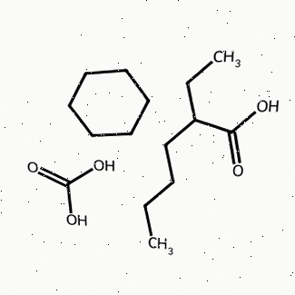 C1CCCCC1.CCCCC(CC)C(=O)O.O=C(O)O